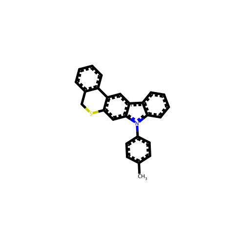 Cc1ccc(-n2c3ccccc3c3cc4c(cc32)SCc2ccccc2-4)cc1